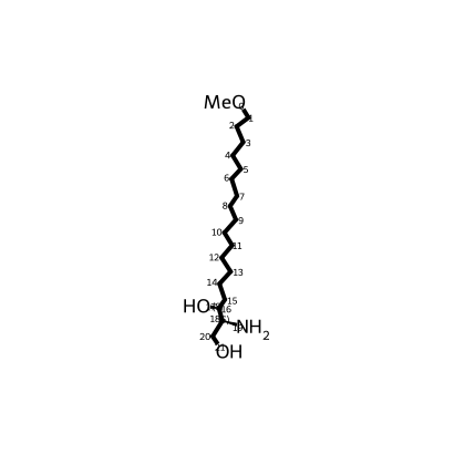 COCCCCCCCCCCCCCCC[C@H](O)[C@@H](N)CO